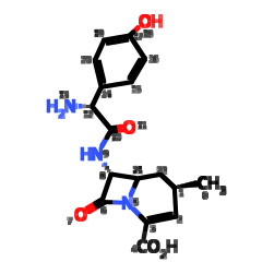 C[C@H]1C=C(C(=O)O)N2C(=O)[C@H](NC(=O)[C@H](N)c3ccc(O)cc3)C2C1